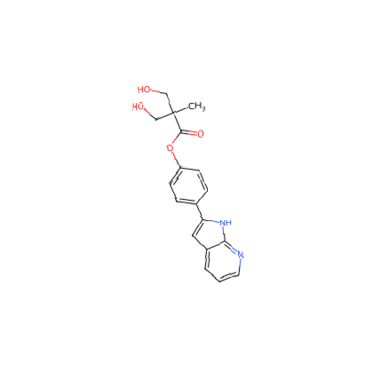 CC(CO)(CO)C(=O)Oc1ccc(-c2cc3cccnc3[nH]2)cc1